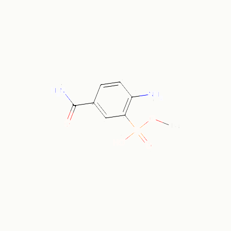 CCC(C)OP(=O)(O)c1cc(C(N)=O)ccc1N